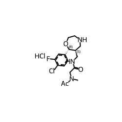 CC(=O)N(C)CC(=O)NC[C@@H]1CNCCO[C@H]1c1ccc(Cl)c(F)c1.Cl